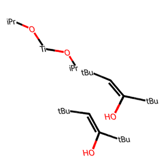 CC(C)(C)C=C(O)C(C)(C)C.CC(C)(C)C=C(O)C(C)(C)C.CC(C)[O][Ti][O]C(C)C